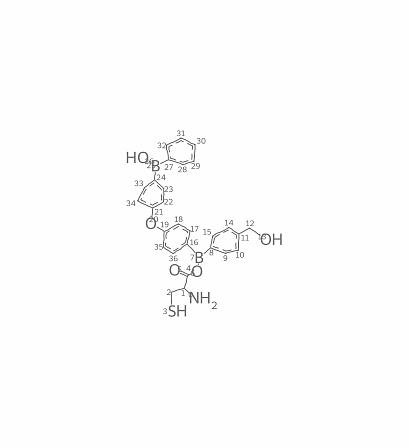 NC(CS)C(=O)OB(c1ccc(CO)cc1)c1ccc(Oc2ccc(B(O)c3ccccc3)cc2)cc1